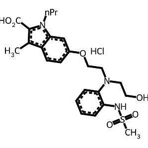 CCCn1c(C(=O)O)c(C)c2ccc(OCCN(CCO)c3ccccc3NS(C)(=O)=O)cc21.Cl